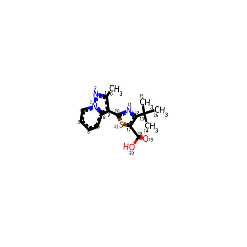 Cc1nn2ccccc2c1-c1nc(C(C)(C)C)c(C(=O)O)s1